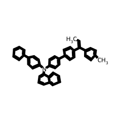 C/C=C(/c1ccc(C)cc1)c1ccc(-c2ccc(N(c3ccc(-c4ccccc4)cc3)c3cccc4ccccc34)cc2)cc1